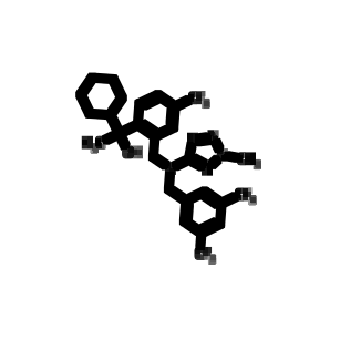 Cn1nnc(N(Cc2cc(C(F)(F)F)cc(C(F)(F)F)c2)Cc2cc(C(F)(F)F)ccc2C(C)(O)C2CCCCC2)n1